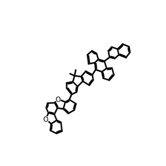 CC1(C)c2ccc(-c3cccc4c3oc3ccc5oc6ccccc6c5c34)cc2-c2ccc(-c3c4ccccc4c(-c4ccc5ccccc5c4)c4ccccc34)cc21